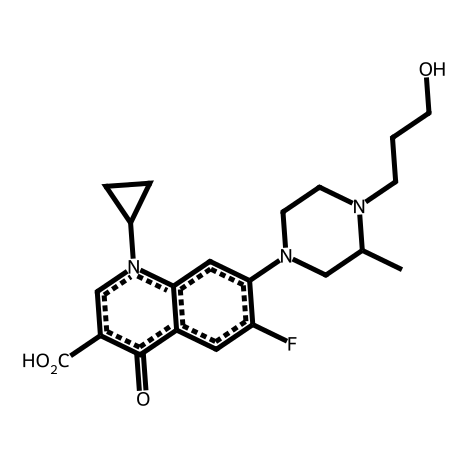 CC1CN(c2cc3c(cc2F)c(=O)c(C(=O)O)cn3C2CC2)CCN1CCCO